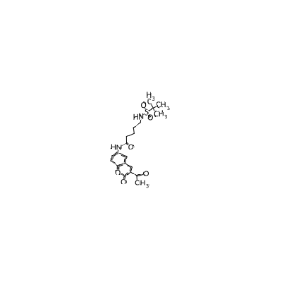 CC(=O)c1cc2cc(NC(=O)CCCCNS(=O)(=O)C(C)(C)C)ccc2oc1=O